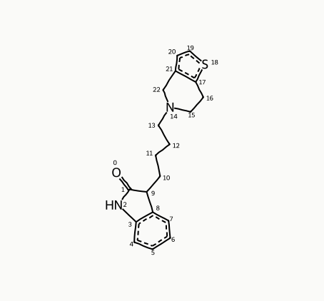 O=C1Nc2ccccc2C1CCCCN1CCc2sccc2C1